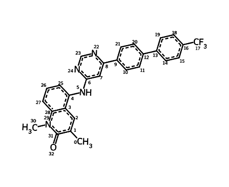 Cc1cc2c(Nc3cc(-c4ccc(-c5ccc(C(F)(F)F)cc5)cc4)ncn3)cccc2n(C)c1=O